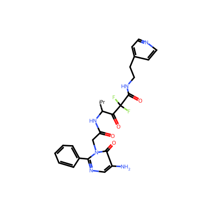 CC(C)C(NC(=O)Cn1c(-c2ccccc2)ncc(N)c1=O)C(=O)C(F)(F)C(=O)NCCc1ccncc1